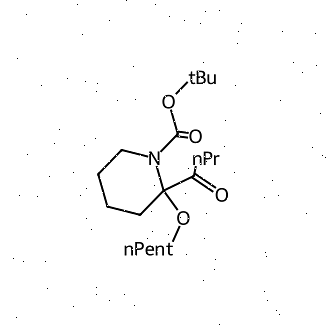 CCCCCOC1(C(=O)CCC)CCCCN1C(=O)OC(C)(C)C